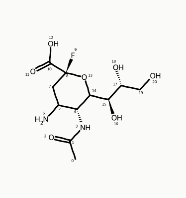 CC(=O)N[C@@H]1C(N)C[C@](F)(C(=O)O)OC1[C@H](O)[C@H](O)CO